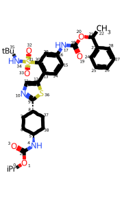 CC(C)OC(=O)N[C@H]1CC[C@H](c2ncc(-c3ccc(NC(=O)OC(C)c4ccccc4)cc3S(=O)(=O)NC(C)(C)C)s2)CC1